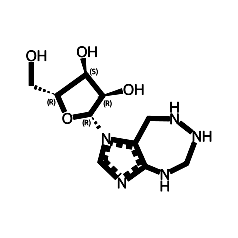 OC[C@H]1O[C@@H](n2cnc3c2CNNCN3)[C@H](O)[C@@H]1O